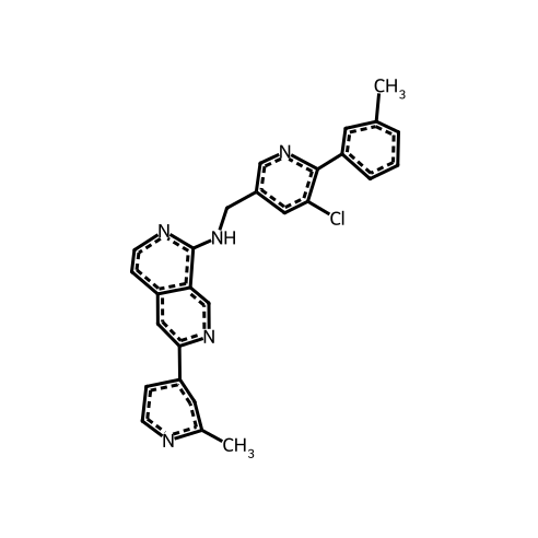 Cc1cccc(-c2ncc(CNc3nccc4cc(-c5ccnc(C)c5)ncc34)cc2Cl)c1